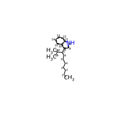 CCCCCCCC(c1c[nH]c2ccccc12)C(C)C